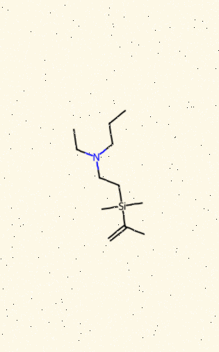 C=C(C)[Si](C)(C)CCN(CC)CCC